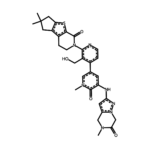 CN1Cc2cc(Nc3cc(-c4ccnc(N5CCc6c(sc7c6CC(C)(C)C7)C5=O)c4CO)cn(C)c3=O)nn2CC1=O